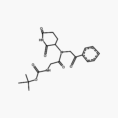 CC(C)(C)OC(=O)NCC(=O)N(CC(=O)c1ccccc1)C1CCC(=O)NC1=O